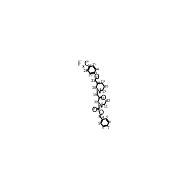 O=C(OCc1ccccc1)N1CCOC(CN2CCCC(COc3ccc(C(F)(F)F)cc3)C2)C1